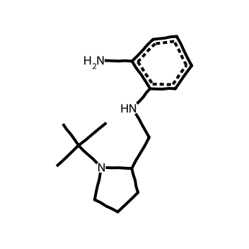 CC(C)(C)N1CCCC1CNc1ccccc1N